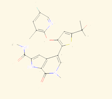 Cc1cc(F)cnc1Oc1cc(C(C)(C)O)sc1-c1cn(C)c(=O)c2[nH]c(C(=O)NC(C)C)cc12